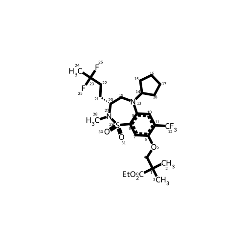 CCOC(=O)C(C)(C)COc1cc2c(cc1C(F)(F)F)N(C1CCCC1)C[C@@H](CCC(C)(F)F)N(C)S2(=O)=O